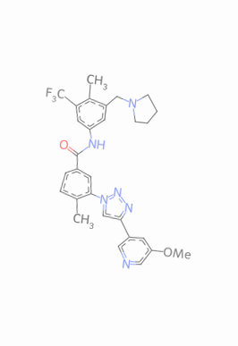 COc1cncc(-c2cn(-c3cc(C(=O)Nc4cc(CN5CCCC5)c(C)c(C(F)(F)F)c4)ccc3C)nn2)c1